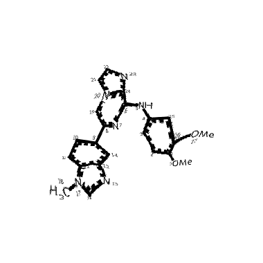 COc1ccc(Nc2nc(-c3ccc4c(c3)ncn4C)cn3ccnc23)cc1OC